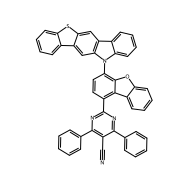 N#Cc1c(-c2ccccc2)nc(-c2ccc(-n3c4ccccc4c4cc5sc6ccccc6c5cc43)c3oc4ccccc4c23)nc1-c1ccccc1